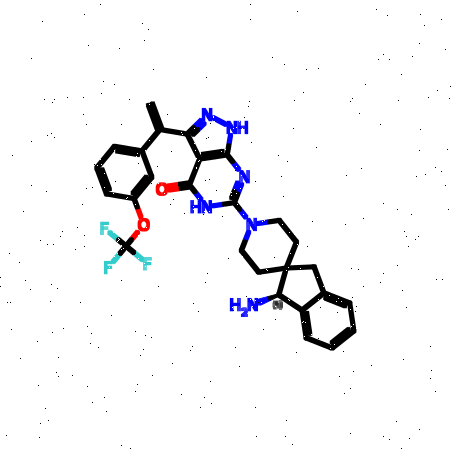 C=C(c1cccc(OC(F)(F)F)c1)c1n[nH]c2nc(N3CCC4(CC3)Cc3ccccc3[C@H]4N)[nH]c(=O)c12